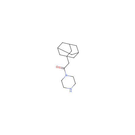 O=C(CC12CC3CC(CC(C3)C1)C2)N1CCNCC1